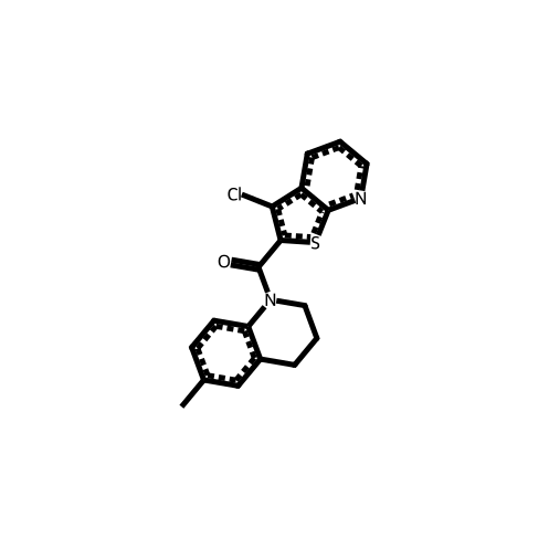 Cc1ccc2c(c1)CCCN2C(=O)c1sc2ncccc2c1Cl